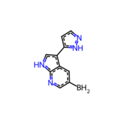 Bc1cnc2[nH]cc(-c3ccn[nH]3)c2c1